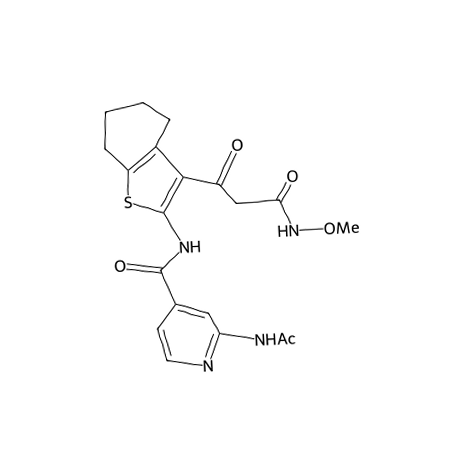 CONC(=O)CC(=O)c1c(NC(=O)c2ccnc(NC(C)=O)c2)sc2c1CCCC2